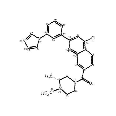 C[C@@H]1CN(C(=O)c2ccc3c(Cl)cc(-c4cccc(-n5cnnc5)c4)nc3c2)CCN1C(=O)O